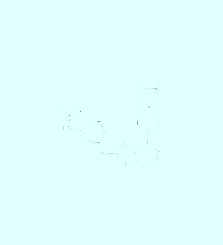 CC1(C)C(=O)Nc2cc(Nc3nc4c(N5CCC6(CC5)CNC(=O)C6)nccn4n3)ccc21